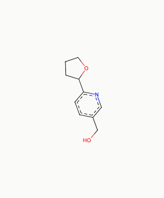 OCc1ccc(C2CCCO2)nc1